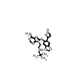 CC(C)(C)CNCCn1c(Sc2cc3c(cc2-c2cc[nH]n2)OCO3)nc2c(N)ncnc21